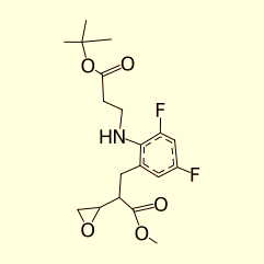 COC(=O)C(Cc1cc(F)cc(F)c1NCCC(=O)OC(C)(C)C)C1CO1